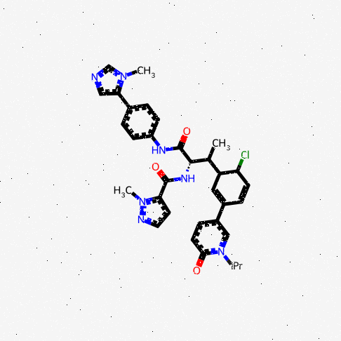 CC(C1C=C(c2ccc(=O)n(C(C)C)c2)C=CC1Cl)[C@H](NC(=O)c1ccnn1C)C(=O)Nc1ccc(-c2cncn2C)cc1